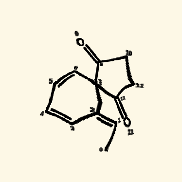 C/C=C1\C=CC=CC12C(=O)CCC2=O